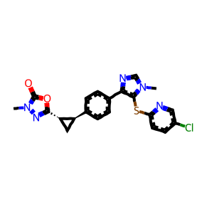 Cn1cnc(-c2ccc([C@H]3C[C@@H]3c3nn(C)c(=O)o3)cc2)c1Sc1ccc(Cl)cn1